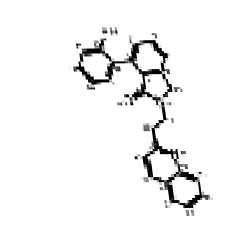 O=C1c2c(cccc2-c2ccccc2F)CN1CCc1ccc2ccccc2n1